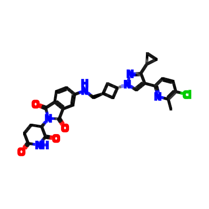 Cc1nc(-c2cn([C@H]3C[C@H](CNc4ccc5c(c4)C(=O)N(C4CCC(=O)NC4=O)C5=O)C3)nc2C2CC2)ccc1Cl